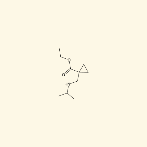 CCOC(=O)C1(CNC(C)C)CC1